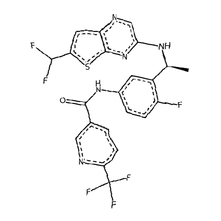 C[C@H](Nc1cnc2cc(C(F)F)sc2n1)c1cc(NC(=O)c2ccc(C(F)(F)F)nc2)ccc1F